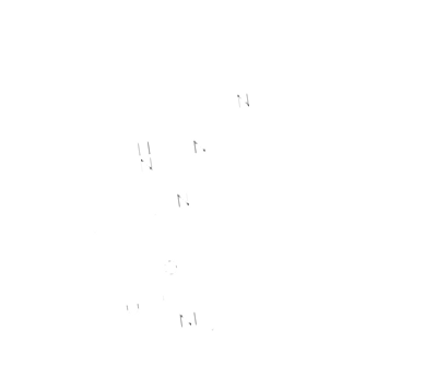 NC(=O)Oc1cccc2[nH]c(N3CCN(C4CCCCC4)CC3)nc12